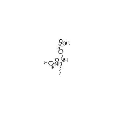 CCCCCCC(NCCc1ccc(SC(C)(C)C(=O)O)cc1)C(=O)Nc1ccc(F)cc1F